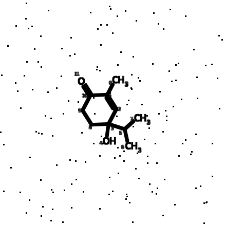 CC1=CC(O)(C(C)C)CCC1=O